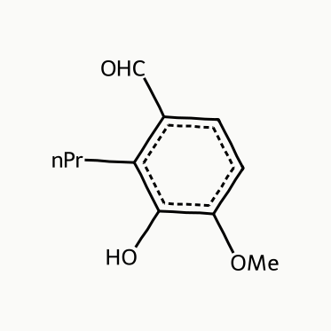 CCCc1c(C=O)ccc(OC)c1O